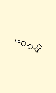 Oc1ccc(-c2ccc(-c3csc4ccccc34)cc2)cc1